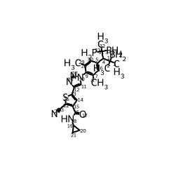 BC(C)(C)C(c1cc(C)c(-n2cc(-c3cc(C(=O)NC4CC4)c(C#N)s3)nn2)c(C)c1)C(C)(P)P